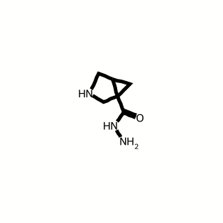 NNC(=O)C12CNCC1C2